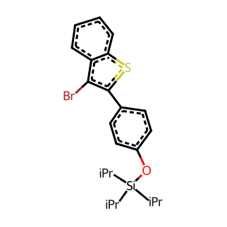 CC(C)[Si](Oc1ccc(-c2sc3ccccc3c2Br)cc1)(C(C)C)C(C)C